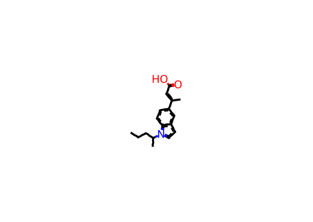 CCCC(C)n1ccc2cc(C(C)=CC(=O)O)ccc21